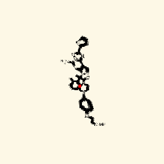 COCCOc1ccc(N2CCN(C(=O)C(C)(c3ccccc3C)n3ncc4c3nc(N)n3nc(-c5ccco5)nc43)CC2)cc1